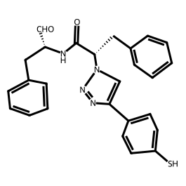 O=C[C@@H](Cc1ccccc1)NC(=O)[C@H](Cc1ccccc1)n1cc(-c2ccc(S)cc2)nn1